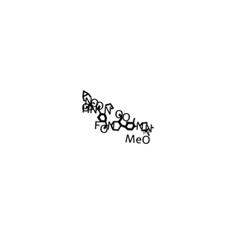 COC[C@H]1CN(c2ccc3c4c(c(=O)oc3c2C)CN(C(=O)c2cc(N3CCC3)c(C(=O)NS(=O)(=O)N3CC5CC5C3)cc2F)CC4)CCN1C